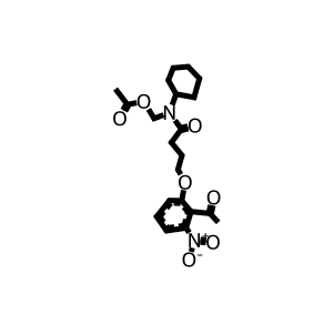 CC(=O)OCN(C(=O)CCCOc1cccc([N+](=O)[O-])c1C(C)=O)C1CCCCC1